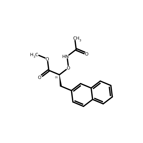 COC(=O)[C@H](Cc1ccc2ccccc2c1)ONC(C)=O